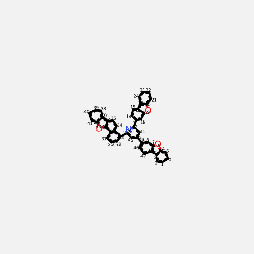 c1ccc2c(c1)oc1cc(-c3cc(-c4ccc5c(c4)oc4ccccc45)nc(-c4cccc5c4ccc4c6ccccc6oc54)c3)ccc12